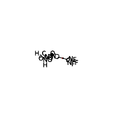 C[C@H]1C(=O)NC(=O)N1CS(=O)(=O)N1CC=C(C#Cc2cnc(C(F)(F)F)nc2)CC1